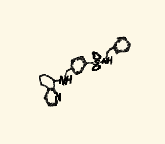 O=S(=O)(NCc1ccccc1)c1ccc(CNC2CCCc3cccnc32)cc1